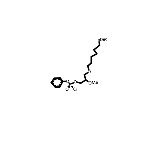 CCCCCCCCCCCCCCCCOCC(COP(=O)(Cl)Oc1ccccc1)OC